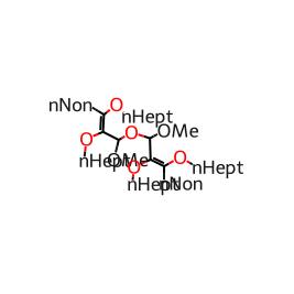 CCCCCCCCCC(OCCCCCCC)=C(OCCCCCCC)C(OC)OC(OC)C(OCCCCCCC)=C(CCCCCCCCC)OCCCCCCC